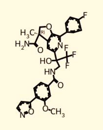 COc1cc(C(=O)NCC(O)(c2cc3c(c(-c4ccc(F)cc4)n2)OC[C@]3(C)C(N)=O)C(F)(F)F)ccc1-c1ccno1